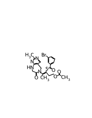 CC(=O)OCC/C(SC(=O)c1cccc(Br)c1)=C(\C)N1Cc2cnc(C)nc2NCC1=O